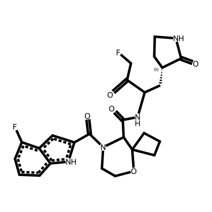 O=C(CF)C(C[C@@H]1CCNC1=O)NC(=O)C1N(C(=O)c2cc3c(F)cccc3[nH]2)CCOC12CCC2